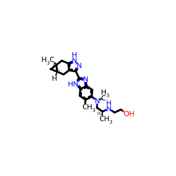 Cc1cc2[nH]c(-c3n[nH]c4c3C[C@@H]3C[C@]3(C)C4)nc2cc1N(C)C[C@H](C)NCCO